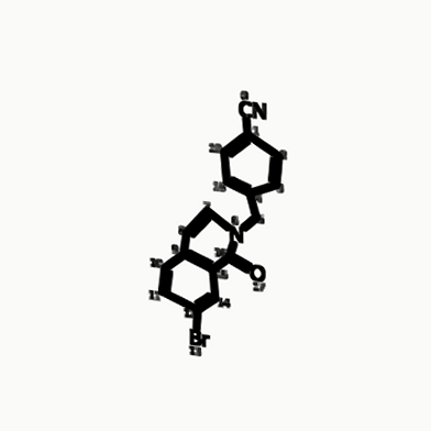 N#Cc1ccc(Cn2ccc3ccc(Br)cc3c2=O)cc1